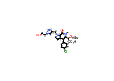 Cn1c(C(OC(C)(C)C)C(=O)O)c(-c2ccc(Cl)cc2)c2ccn(Cc3cn(CCO)nn3)c2c1=O